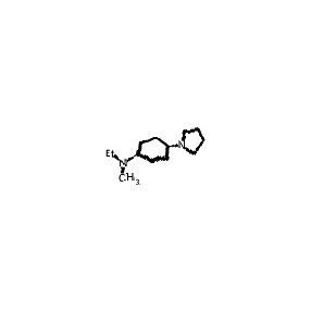 CCN(C)[C@H]1CC[C@@H](N2CCCC2)CC1